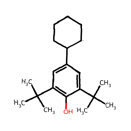 CC(C)(C)c1cc(C2[CH]CCCC2)cc(C(C)(C)C)c1O